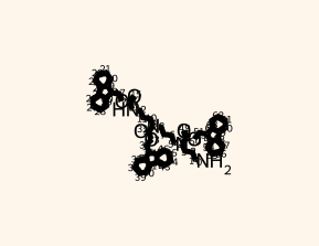 NCCCN(CCCCN(CCCNC(=O)OCC1c2ccccc2-c2ccccc21)C(=O)OCC1c2ccccc2-c2ccccc21)C(=O)OCC1c2ccccc2-c2ccccc21